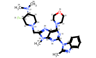 Cc1nc2ccccc2n1-c1nc(N2CCOCC2)c2nc(CN3CC[C@@H](N(C)C)[C@@H](F)C3)n(C)c2n1